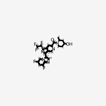 CC1CC(O)CCN1C(=O)c1cc2c(cn1)c(-c1cnc3c(F)cc(F)cn13)nn2C(F)C(F)F